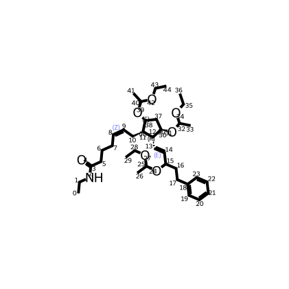 CCNC(=O)CCC/C=C\C[C@@H]1[C@@H](/C=C/C(CCc2ccccc2)OC(C)OCC)[C@H](OC(C)OCC)C[C@@H]1OC(C)OCC